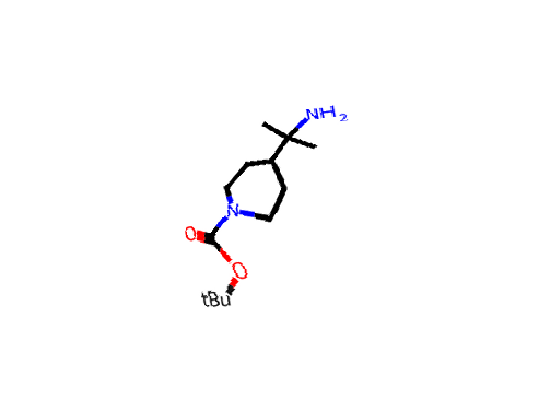 CC(C)(C)OC(=O)N1CCC(C(C)(C)N)CC1